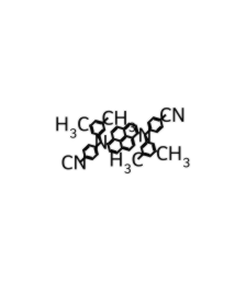 [C-]#[N+]c1ccc(N(c2cc(C)cc(C)c2)c2ccc3ccc4c(N(c5ccc(C#N)cc5)c5cc(C)cc(C)c5)ccc5ccc2c3c54)cc1